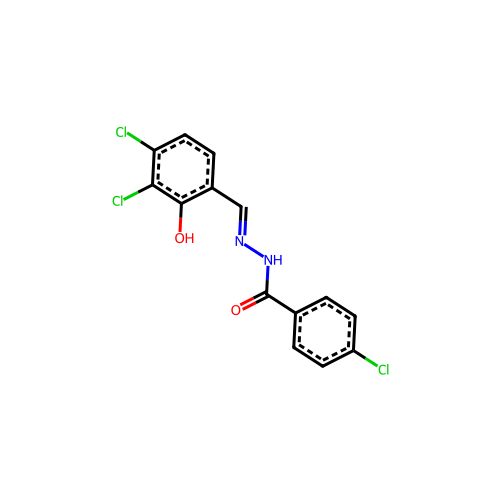 O=C(N/N=C/c1ccc(Cl)c(Cl)c1O)c1ccc(Cl)cc1